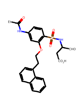 CCC(=O)Nc1ccc(S(=O)(=O)NC(C=O)CC(=O)O)c(OCCc2cccc3ccccc23)c1